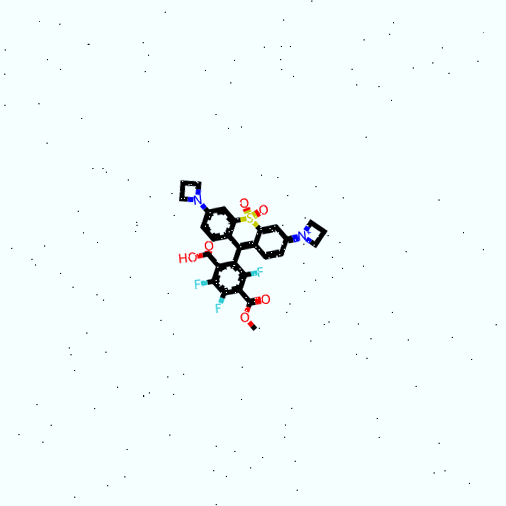 COC(=O)c1c(F)c(F)c(C(=O)O)c(C2=C3C=CC(=[N+]4CCC4)C=C3S(=O)(=O)c3cc(N4CCC4)ccc32)c1F